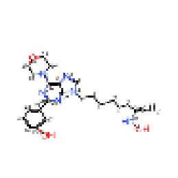 C=C(CCCCCCn1cnc2c(N3CCOCC3)nc(-c3cccc(O)c3)nc21)NO